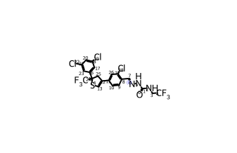 O=C(NCC(F)(F)F)N/N=C/c1ccc(C2=CSC(c3cc(Cl)cc(Cl)c3)(C(F)(F)F)C2)cc1Cl